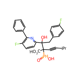 CC(C)C#CC(C(=O)O)([PH](=O)O)C(O)(Cc1ccc(F)cc1)c1ccc(F)c(-c2ccccc2)n1